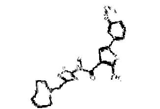 Cc1sc(-c2cccc(OC(F)(F)F)c2)cc1C(=O)Nc1nc(CN2CCCCC2)ns1